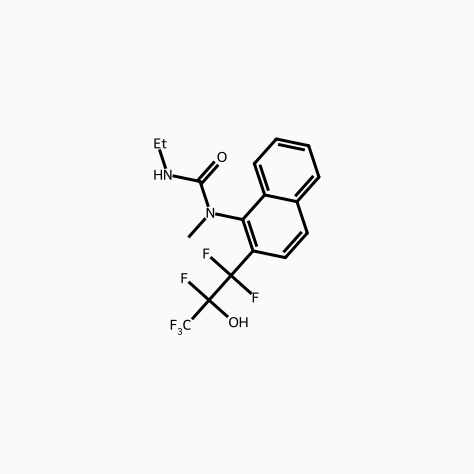 CCNC(=O)N(C)c1c(C(F)(F)C(O)(F)C(F)(F)F)ccc2ccccc12